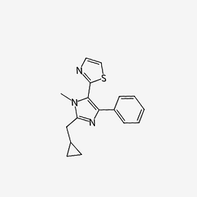 Cn1c(CC2CC2)nc(-c2ccccc2)c1-c1nccs1